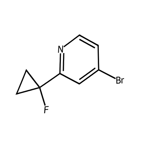 FC1(c2cc(Br)ccn2)CC1